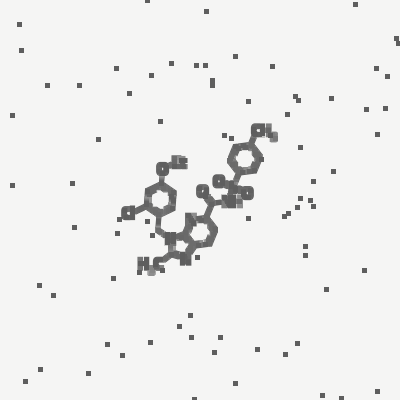 CCOc1ccc(Cn2c(C)nc3ccc(C(=O)NS(=O)(=O)c4ccc(C)cc4)nc32)c(Cl)c1